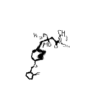 CN(C)C(=O)CC(N)(O)Cc1ccc(OCc2ccccc2F)cc1